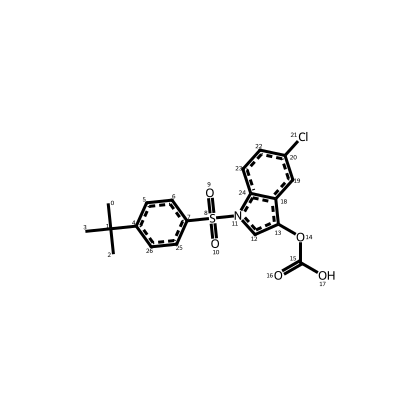 CC(C)(C)c1ccc(S(=O)(=O)n2cc(OC(=O)O)c3cc(Cl)ccc32)cc1